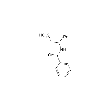 CC(C)C(CS(=O)(=O)O)NC(=O)c1ccccc1